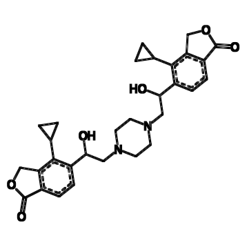 O=C1OCc2c1ccc(C(O)CN1CCN(CC(O)c3ccc4c(c3C3CC3)COC4=O)CC1)c2C1CC1